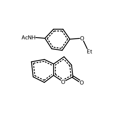 CCOc1ccc(NC(C)=O)cc1.O=c1ccc2ccccc2o1